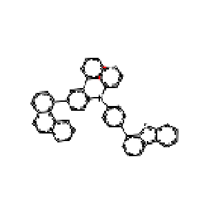 c1ccc(-c2cc(-c3cccc4ccc5ccccc5c34)ccc2N(c2ccccc2)c2ccc(-c3cccc4c3sc3ccccc34)cc2)cc1